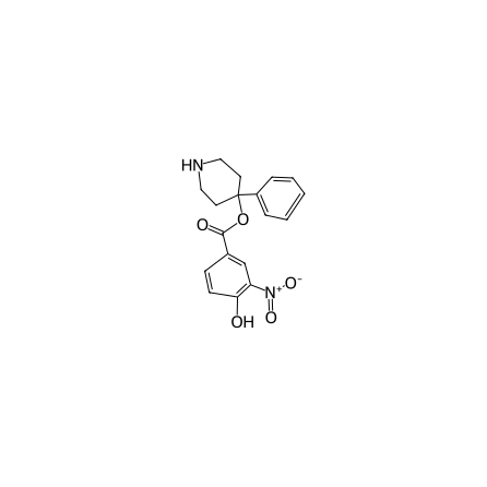 O=C(OC1(c2ccccc2)CCNCC1)c1ccc(O)c([N+](=O)[O-])c1